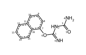 N=C(NC(N)=O)Oc1cccc2ccccc12